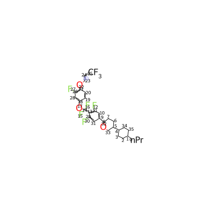 CCCC1CCC(C2CCC(c3cc(F)c(C(F)(F)Oc4ccc(O/C=C/C(F)(F)F)c(F)c4)c(F)c3)OC2)CC1